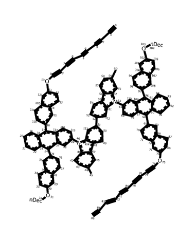 C#CC#CC#CC#CC#COc1ccc2cc(-c3c4ccccc4c(-c4ccc5cc(OCCCCCCCCCC)ccc5c4)c4cc(-n5c6ccc(C)cc6c6ccc(-c7ccc8c9ccc(C)cc9n(-c9ccc%10c(-c%11ccc%12cc(OC#CC#CC#CC#CC#C)ccc%12c%11)c%11ccccc%11c(-c%11ccc%12cc(OCCCCCCCCCC)ccc%12c%11)c%10c9)c8c7)cc65)ccc34)ccc2c1